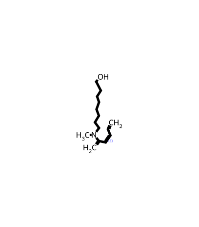 C=C/C=C\C(=C)N(C)CCCCCCCCO